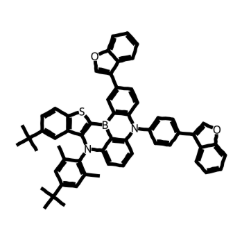 Cc1cc(C(C)(C)C)cc(C)c1N1c2cccc3c2B(c2cc(-c4coc5ccccc45)ccc2N3c2ccc(-c3coc4ccccc34)cc2)c2sc3ccc(C(C)(C)C)cc3c21